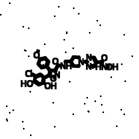 COC1=CC=C(c2c(C(=O)NCC3CCN(c4ncc(C(=O)NO)cn4)CC3)noc2-c2cc(Cl)c(O)cc2O)CC1